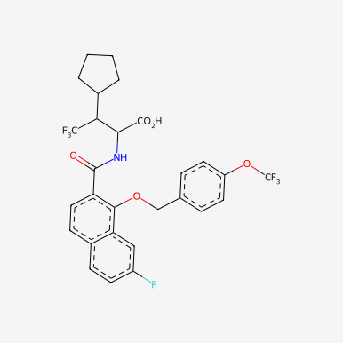 O=C(NC(C(=O)O)C(C1CCCC1)C(F)(F)F)c1ccc2ccc(F)cc2c1OCc1ccc(OC(F)(F)F)cc1